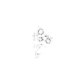 CC(C)(C)CC1N[C@@H](C(=O)NCCN2CCCC2)[C@H](c2cccc(Cl)c2)[C@@]1(C#N)c1ccc(Cl)cc1